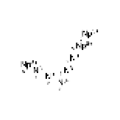 [N-3].[N-3].[N-3].[N-3].[N-3].[Np+5].[Np+5].[Np+5]